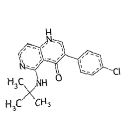 CC(C)(C)Nc1nccc2[nH]cc(-c3ccc(Cl)cc3)c(=O)c12